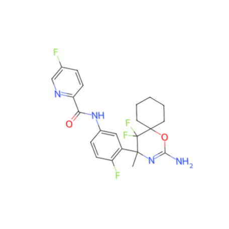 CC1(c2cc(NC(=O)c3ccc(F)cn3)ccc2F)N=C(N)OC2(CCCCC2)C1(F)F